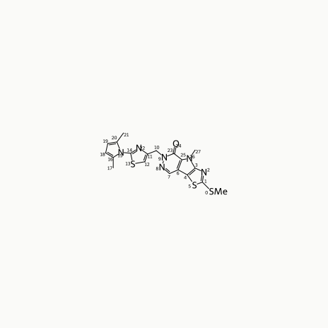 CSc1nc2c(s1)c1cnn(Cc3csc(-n4c(C)ccc4C)n3)c(=O)c1n2C